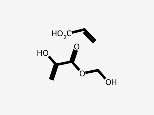 C=C(O)C(=O)OCO.C=CC(=O)O